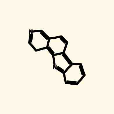 C1=NC=c2ccc3c(c2C1)N=c1ccccc1=3